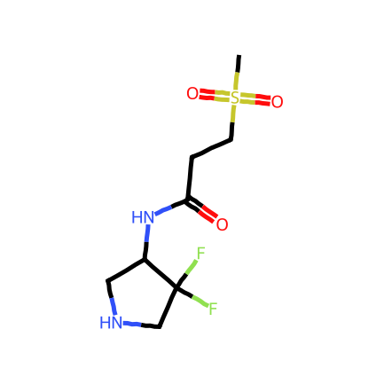 CS(=O)(=O)CCC(=O)NC1CNCC1(F)F